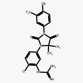 CC1(C)C(=O)N(c2ccc(C#N)c(C(F)(F)F)c2)C(=S)N1c1ccc(Cl)c(NC(=N)N)c1